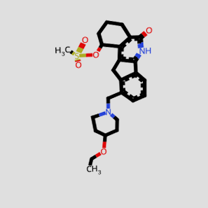 CCOC1CCN(Cc2cccc3c2Cc2c-3[nH]c(=O)c3c2C(OS(C)(=O)=O)CCC3)CC1